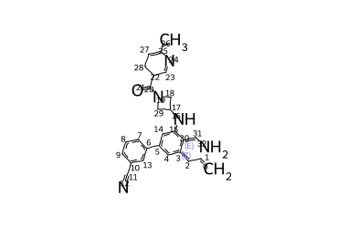 C=C/C=c1/cc(-c2cccc(C#N)c2)cc(NC2CN(C(=O)C3C=NC(C)=CC3)C2)/c1=C/N